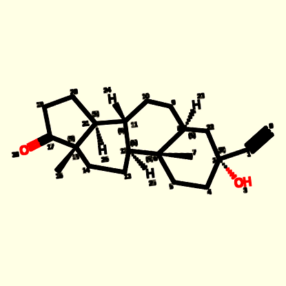 C#C[C@@]1(O)CC[C@@]2(C)[C@@H](CC[C@@H]3[C@@H]2CC[C@]2(C)C(=O)CC[C@@H]32)C1